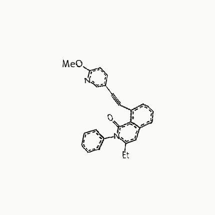 CCc1cc2cccc(C#Cc3ccc(OC)nc3)c2c(=O)n1-c1ccccc1